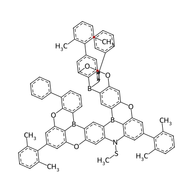 CSN1c2cc3c(cc2B2c4cc5c(cc4Oc4cc(-c6c(C)cccc6C)cc1c42)Oc1cc(-c2c(C)cccc2C)cc2c1B5c1cccc(-c4ccccc4)c1O2)B1c2cccc(-c4ccccc4)c2Oc2cc(-c4c(C)cccc4C)cc(c21)O3